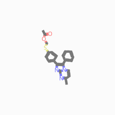 CC(=O)OCSc1ccc(-c2nc3nc(C)ccn3c2-c2ccccc2)cc1